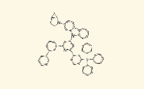 C1=C2CC2N(c2ccc3c4ccccc4n(-c4cc(-c5cccc(-c6ccccc6)c5)nc(-c5cccc(S(c6ccccc6)(c6ccccc6)c6ccccc6)c5)n4)c3c2)C1